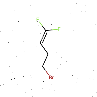 FC(F)=CCCBr